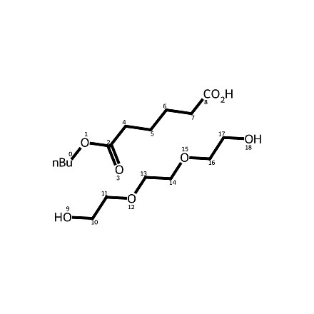 CCCCOC(=O)CCCCC(=O)O.OCCOCCOCCO